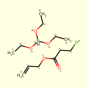 C=CCOC(=O)CCCl.CCO[SiH](OCC)OCC